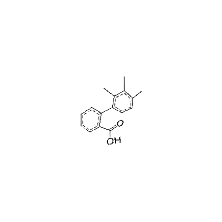 Cc1ccc(-c2ccccc2C(=O)O)c(C)c1C